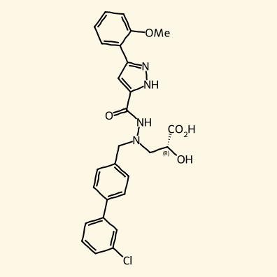 COc1ccccc1-c1cc(C(=O)NN(Cc2ccc(-c3cccc(Cl)c3)cc2)C[C@@H](O)C(=O)O)[nH]n1